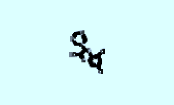 O=C(O)C(Oc1ccc(Cl)cc1Cl)N1C=NC=NC1